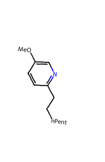 CCCCCCCc1ccc(OC)cn1